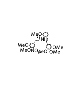 COc1cccc(C=Cc2cc(OC)c(OC)c(OC)c2)c1NC(=O)/C=C/c1cc(OC)c(OC)c([N+](=O)[O-])c1